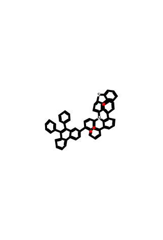 c1ccc(-c2cccc(-c3ccccc3)c2N(c2ccc(-c3ccc4c(c3)c(-c3ccccc3)c(-c3ccccc3)c3ccccc34)cc2)c2ccc3sc4ccccc4c3c2)cc1